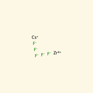 [Cs+].[F-].[F-].[F-].[F-].[F-].[Zr+4]